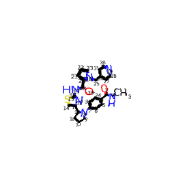 CNC(=O)c1ccc(N2CCCC2c2csc(NC(=O)c3cccn3Cc3ccncc3)n2)cc1